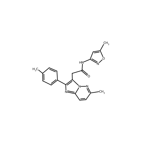 Cc1ccc(-c2nc3ccc(C)nn3c2CC(=O)Nc2cc(C)on2)cc1